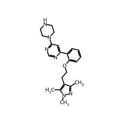 Cc1nn(C)c(C)c1CCOc1ccccc1-c1cc(N2CCNCC2)ncn1